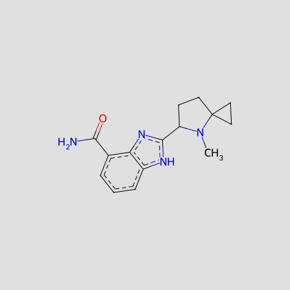 CN1C(c2nc3c(C(N)=O)cccc3[nH]2)CCC12CC2